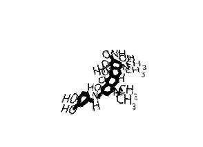 CN(C)c1cc(CNCc2ccc(O)c(O)c2)c(O)c2c1C[C@H]1CC3C(N(C)C)C(O)=C(C(N)=O)C(=O)[C@@]3(O)C(O)=C1C2=O